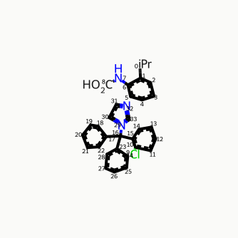 CC(C)c1ccccc1NC(=O)O.Clc1ccccc1C(c1ccccc1)(c1ccccc1)n1ccnc1